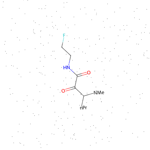 CCCC(NC)C(=O)C(=O)NCCF